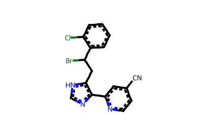 N#Cc1ccnc(-c2nc[nH]c2CC(Br)c2ccccc2Cl)c1